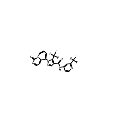 O=C(Nc1ccnc(C(F)(F)F)c1)c1cnn(-c2cccn3c(=O)nccc23)c1C(F)(F)F